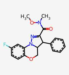 CON(C)C(=O)C1=NN2c3cc(F)ccc3OCC2C1c1ccccc1